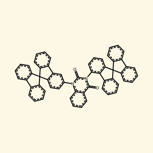 O=c1c2ccccc2n(-c2ccc3c(c2)-c2ccccc2C32c3ccccc3-c3ccccc32)c(=O)n1-c1cccc2c1-c1ccccc1C21c2ccccc2-c2ccccc21